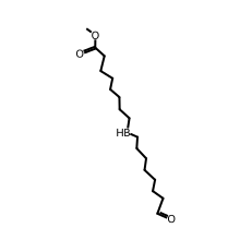 COC(=O)CCCCCCCBCCCCCCCC=O